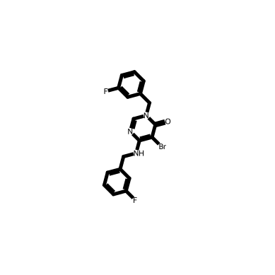 O=c1c(Br)c(NCc2cccc(F)c2)ncn1Cc1cccc(F)c1